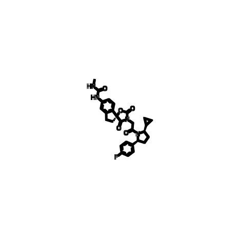 CNC(=O)Nc1ccc2c(c1)CC[C@@]21OC(=O)N(CC(=O)N2[C@@H](C3CC3)CC[C@H]2c2ccc(F)cc2)C1=O